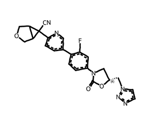 N#CC1(c2ccc(-c3ccc(N4C[C@H](Cn5ccnn5)OC4=O)cc3F)cn2)C2COCC21